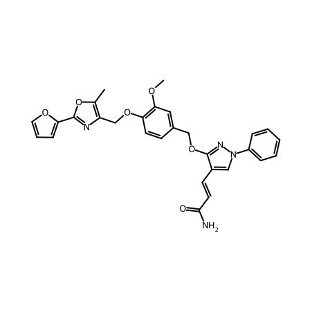 COc1cc(COc2nn(-c3ccccc3)cc2/C=C/C(N)=O)ccc1OCc1nc(-c2ccco2)oc1C